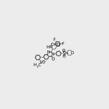 C[S+]([O-])c1ccccc1-c1ccc2c(=O)n(-c3ccc(S(=O)(=O)N4CCOCC4)cc3)c(C(Cc3cc(F)cc(F)c3)NC=O)nc2c1